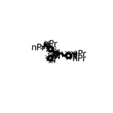 CCCN(CCC)c1ccc(C=CC2=NN(c3ccccn3)C(c3ccc(N(CCC)CCC)cc3)C2)cc1